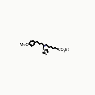 CCOC(=O)CCCCC/C=C(/CCCc1ccc(OC)cc1)Cn1ccnc1